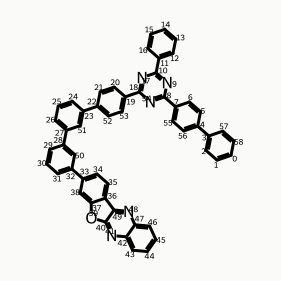 c1ccc(-c2ccc(-c3nc(-c4ccccc4)nc(-c4ccc(-c5cccc(-c6cccc(-c7ccc8c(c7)oc7nc9ccccc9nc78)c6)c5)cc4)n3)cc2)cc1